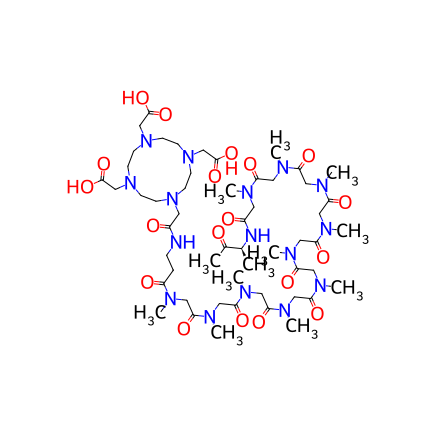 CC(=O)[C@H](C)NC(=O)CN(C)C(=O)CN(C)C(=O)CN(C)C(=O)CN(C)C(=O)CN(C)C(=O)CN(C)C(=O)CN(C)C(=O)CN(C)C(=O)CN(C)C(=O)CN(C)C(=O)CCNC(=O)CN1CCN(CC(=O)O)CCN(CC(=O)O)CCN(CC(=O)O)CC1